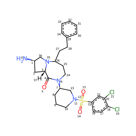 N[C@@H]1C[C@H]2C(=O)N([C@@H]3CCCN(S(=O)(=O)c4ccc(Cl)c(Cl)c4)C3)CCC(CCc3ccccc3)N2C1